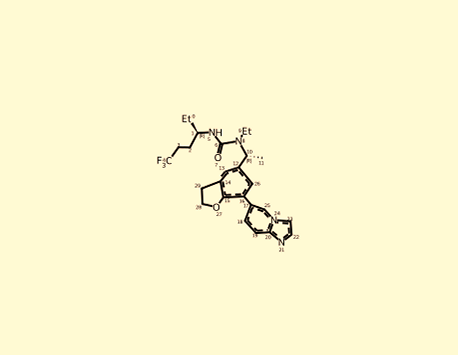 CC[C@H](CCC(F)(F)F)NC(=O)N(CC)[C@H](C)c1cc2c(c(-c3ccc4nccn4c3)c1)OCC2